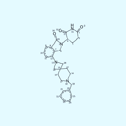 O=C1CCC(N2Cc3c(cccc3N3CC4(CCN(Cc5ccccc5)CC4)C3)C2=O)C(=O)N1